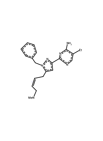 CCc1cnc(-c2cc(C/C=C\CNC)n(Cc3ccccc3)n2)nc1N